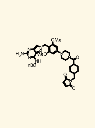 CCCCNc1nc(N)nc2cn(Cc3c(OC)cc(N4CCN(C(=O)C5CCC(CN6C(=O)C=CC6=O)CC5)CC4)cc3OC)nc12